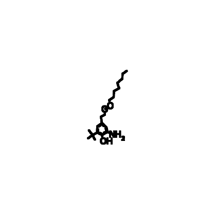 CCCCCCCCOOCCc1cc(N)c(O)c(C(C)(C)C)c1